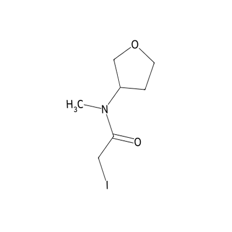 CN(C(=O)CI)C1CCOC1